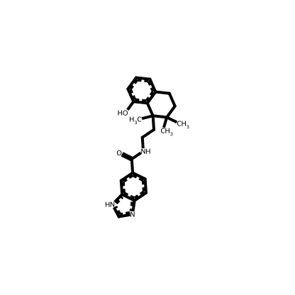 CC1(C)CCc2cccc(O)c2C1(C)CCNC(=O)c1ccc2nc[nH]c2c1